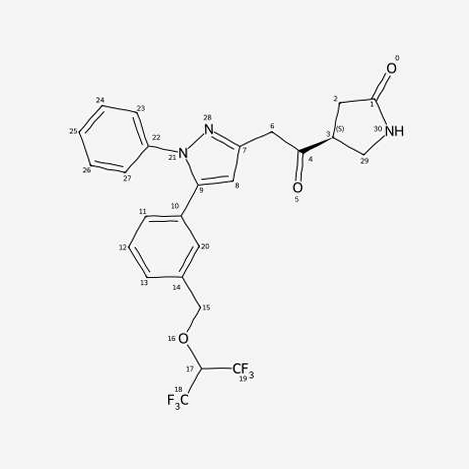 O=C1C[C@H](C(=O)Cc2cc(-c3cccc(COC(C(F)(F)F)C(F)(F)F)c3)n(-c3ccccc3)n2)CN1